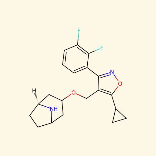 Fc1cccc(-c2noc(C3CC3)c2COC2CC3CC[C@@H](C2)N3)c1F